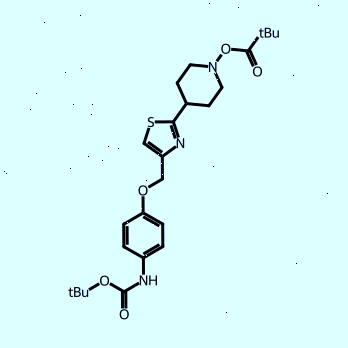 CC(C)(C)OC(=O)Nc1ccc(OCc2csc(C3CCN(OC(=O)C(C)(C)C)CC3)n2)cc1